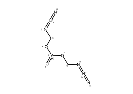 [N-]=[N+]=NCO[PH](=O)OCN=[N+]=[N-]